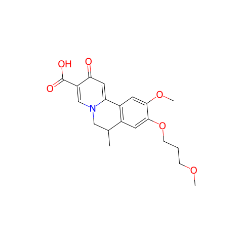 COCCCOc1cc2c(cc1OC)-c1cc(=O)c(C(=O)O)cn1CC2C